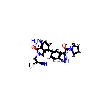 C=C(C#N)CN1Cc2c(-c3ccc4[nH]nc(C(=O)N5CCCC5)c4c3)ccc(N)c2C1=O